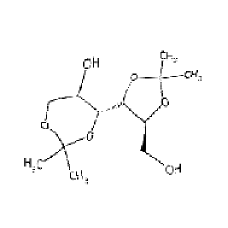 CC1(C)OCC(O)[C@H](C2OC(C)(C)O[C@H]2CO)O1